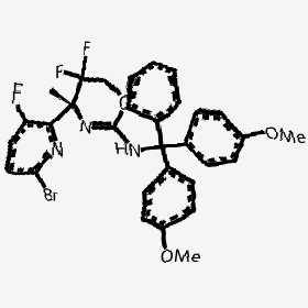 COc1ccc(C(NC2=N[C@](C)(c3nc(Br)ccc3F)C(F)(F)CO2)(c2ccccc2)c2ccc(OC)cc2)cc1